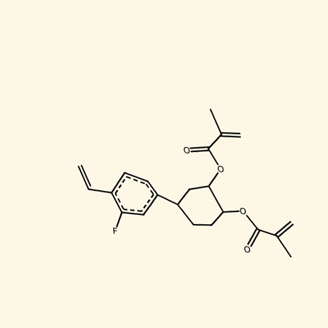 C=Cc1ccc(C2CCC(OC(=O)C(=C)C)C(OC(=O)C(=C)C)C2)cc1F